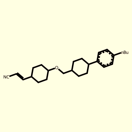 CCCCc1ccc(C2CCC(COC3CCC(C=CC#N)CC3)CC2)cc1